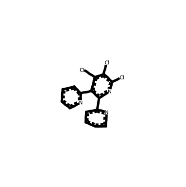 Clc1nc(-c2ccccn2)c(-c2ccccn2)c(Cl)c1Cl